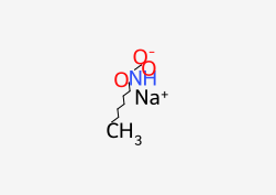 CCCCCCCC(=O)NCC(=O)[O-].[Na+]